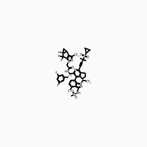 CC(C)(C#Cc1nc([C@H](Cc2cc(F)cc(F)c2)NC(=O)Cn2nc(C(F)(F)F)c3c2C(F)(F)[C@@H]2CC32)c(-c2ccc(Cl)c3c(NS(C)(=O)=O)nn(CC(F)(F)F)c23)c2c1CCC2)S(=O)(=O)C1CC1